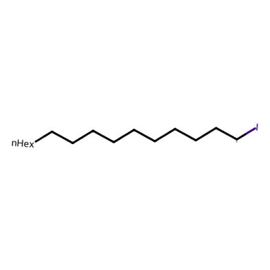 CCCCCCCCCCCCCCC[CH]I